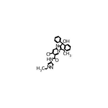 CCc1c(C(O)(c2ccccc2)c2ccccc2)nc2cc(Cl)c(C(=O)Nc3cnn(CC)c3)cn12